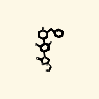 O=C1O[C@@H](CO)CN1c1cc(F)c(C2=CC(Cc3ccccc3)NCC2)c(F)c1